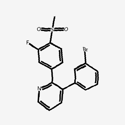 CS(=O)(=O)c1ccc(-c2ncccc2-c2cccc(Br)c2)cc1F